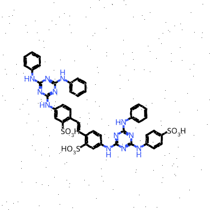 O=S(=O)(O)c1ccc(Nc2nc(Nc3ccccc3)nc(Nc3ccc(C=Cc4ccc(Nc5nc(Nc6ccccc6)nc(Nc6ccccc6)n5)cc4S(=O)(=O)O)c(S(=O)(=O)O)c3)n2)cc1